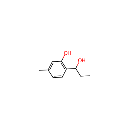 CCC(O)c1ccc(C)cc1O